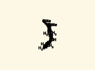 COCCCCCC(=O)OC(COC)COc1ccc(C(C)(C)c2ccc(OCC(O)COc3ccc(C(C)(C)c4ccc(C)cc4)cc3)cc2)cc1